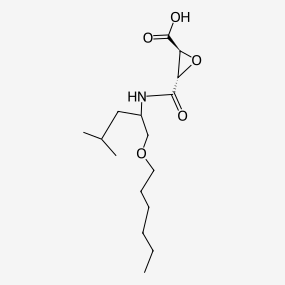 CCCCCCOCC(CC(C)C)NC(=O)[C@H]1O[C@@H]1C(=O)O